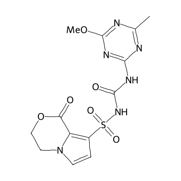 COc1nc(C)nc(NC(=O)NS(=O)(=O)c2ccn3c2C(=O)OCC3)n1